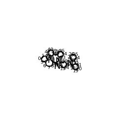 c1ccc2c(c1)CCCC1c3nc4ccc(-n5c6ccccc6c6ccccc65)cc4n3-c3ccccc3-c3ccccc3N21